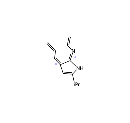 C=C/C=C1/C=C(C(C)C)N/C1=N/C=C